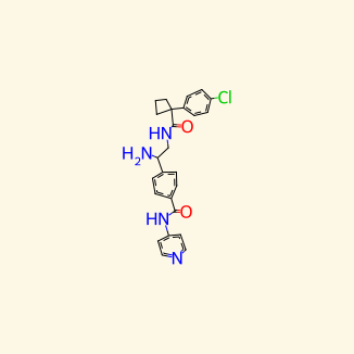 NC(CNC(=O)C1(c2ccc(Cl)cc2)CCC1)c1ccc(C(=O)Nc2ccncc2)cc1